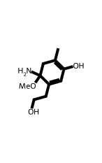 COC1(N)CC(C)=C(O)C=C1CCO